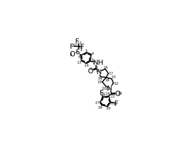 O=C(Nc1ccc([S+]([O-])C(F)(F)F)cc1)N1CCC2(CCN(C(=O)c3c(F)cccc3F)CC2)C1